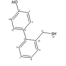 Oc1ccc(-c2ccccc2CS)cc1